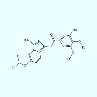 CCOc1cc(C(=O)C[n+]2nc(N)n3nc(OC(CC)CC)ccc32)cc(C(C)(C)C)c1OCC